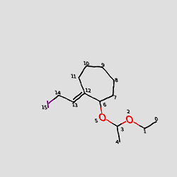 CCOC(C)OC1CCCCCC1=CCI